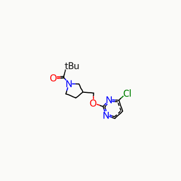 CC(C)(C)C(=O)N1CCC(COc2nccc(Cl)n2)C1